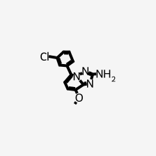 COc1ccc(-c2cccc(Cl)c2)n2nc(N)nc12